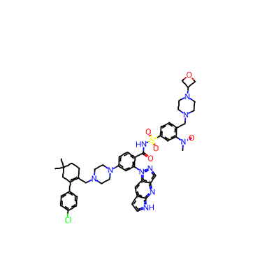 C[N+](=O)c1cc(S(=O)(=O)NC(=O)c2ccc(N3CCN(CC4=C(c5ccc(Cl)cc5)CC(C)(C)CC4)CC3)cc2-n2ncc3nc4[nH]ccc4cc32)ccc1CN1CCN(C2COC2)CC1